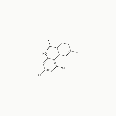 C=C(C)C1CCC(C)=CC1c1c(O)cc(Cl)cc1O